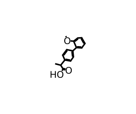 COc1ccccc1-c1ccc(C(C)C(=O)O)cc1